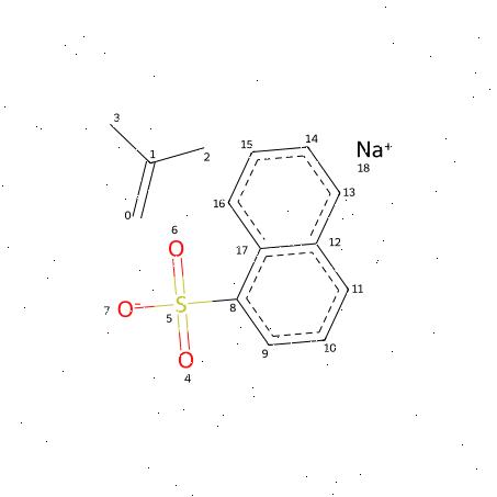 C=C(C)C.O=S(=O)([O-])c1cccc2ccccc12.[Na+]